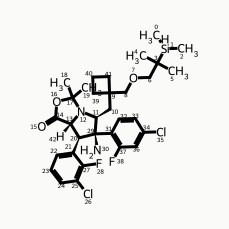 C[SiH](C)C(C)(C)COCC1(C[C@@H]2N3[C@@H](C(=O)OC3(C)C)[C@H](c3cccc(Cl)c3F)[C@@]2(N)c2ccc(Cl)cc2F)CCC1